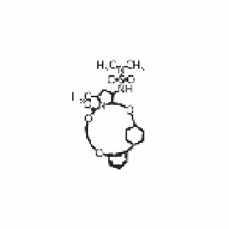 CC1CC(NS(=O)(=O)N(C)C)C2COC3CCC(CC3)c3cccc(c3)OCCCOC(=O)N12